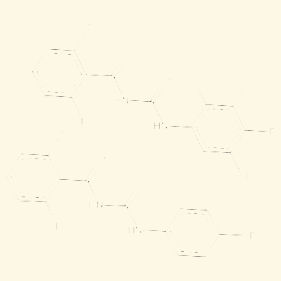 O=C(NC(=O)c1c(F)cccc1F)Nc1cc(Cl)c(F)c(Cl)c1F.O=C(NC(=O)c1c(F)cccc1F)Nc1ccc(C(F)(F)F)cc1